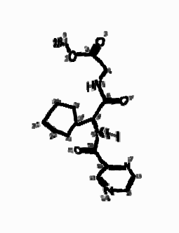 CC(C)(C)OC(=O)CNC(=O)C(NC(=O)c1cnccn1)C1CCCCC1